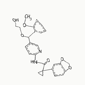 COc1ccccc1C(OCCO)c1ccc(NC(=O)C2(c3ccc4c(c3)OCO4)CC2)nc1